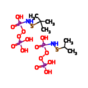 CC(C)(C)SNP(=O)(O)OOP(=O)(O)O.CC(C)SNP(=O)(O)OOP(=O)(O)O